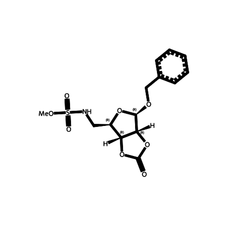 COS(=O)(=O)NC[C@H]1O[C@@H](OCc2ccccc2)[C@@H]2OC(=O)O[C@@H]21